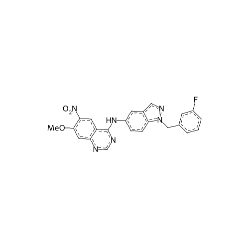 COc1cc2ncnc(Nc3ccc4c(cnn4Cc4cccc(F)c4)c3)c2cc1[N+](=O)[O-]